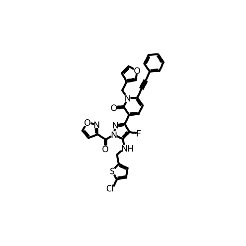 O=C(c1ccon1)n1nc(-c2ccc(C#Cc3ccccc3)n(Cc3ccoc3)c2=O)c(F)c1NCc1ccc(Cl)s1